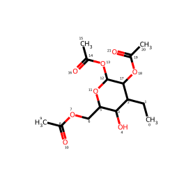 CCC1C(O)C(COC(C)=O)OC(OC(C)=O)C1OC(C)=O